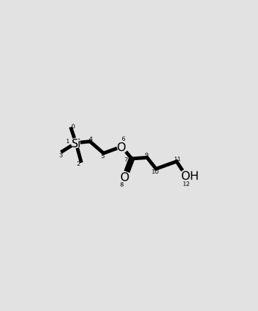 C[Si](C)(C)CCOC(=O)CCCO